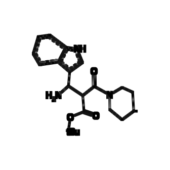 CC(C)(C)OC(=O)C(C(=O)N1CC[CH]CC1)C(N)c1c[nH]c2ccccc12